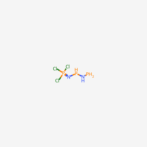 PNPN=P(Cl)(Cl)Cl